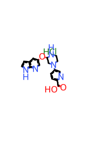 Cl.O=C(O)c1ccc(N2CCNC(Oc3cnc4[nH]ccc4c3)C2)cn1